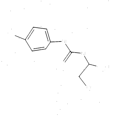 CC(C)CC(NC(=O)Nc1ccc(C(F)(F)F)cc1)C(=O)O